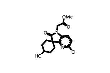 COC(=O)CN1C(=O)C2(CCC(O)CC2)c2nc(Cl)ccc21